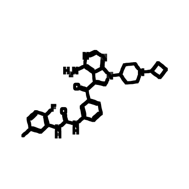 Cc1ccc(F)c(NC(=O)Nc2cccc(C(=O)c3cn(C4CCN(C5CCC5)CC4)c4ncnc(N)c34)c2)c1